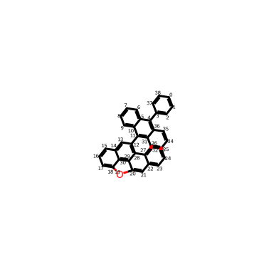 c1ccc(-c2c3ccccc3c(-c3cc4cccc5oc6cc7ccccc7c3c6c45)c3ccccc23)cc1